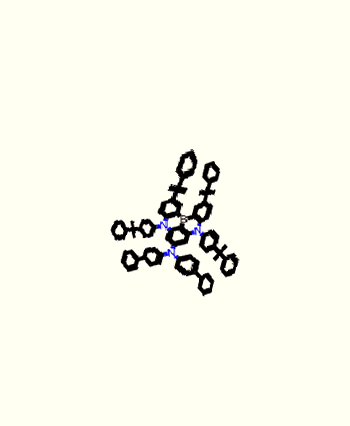 CC(C)(c1ccccc1)c1ccc(N2c3ccc(C(C)(C)c4ccccc4)cc3B3c4cc(C(C)(C)c5ccccc5)ccc4N(c4ccc(C(C)(C)c5ccccc5)cc4)c4cc(N(c5ccc(-c6ccccc6)cc5)c5ccc(-c6ccccc6)cc5)cc2c43)cc1